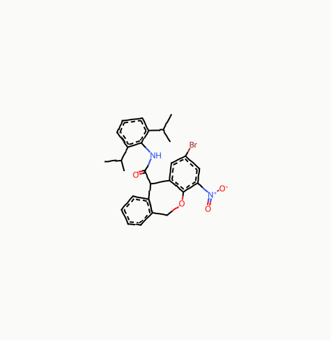 CC(C)c1cccc(C(C)C)c1NC(=O)C1c2ccccc2COc2c1cc(Br)cc2[N+](=O)[O-]